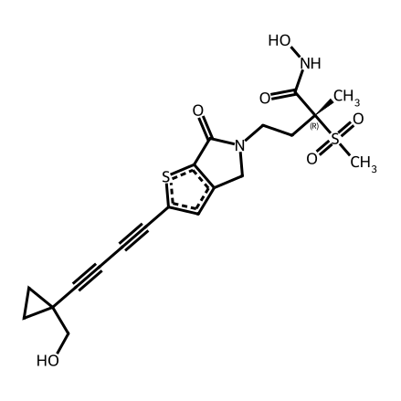 C[C@@](CCN1Cc2cc(C#CC#CC3(CO)CC3)sc2C1=O)(C(=O)NO)S(C)(=O)=O